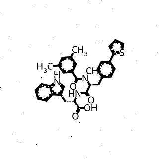 Cc1cc(C)cc(C(=O)N(C)[C@@H](Cc2ccc(-c3cccs3)cc2)C(=O)N[C@@H](Cc2c[nH]c3ccccc23)C(=O)O)c1